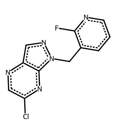 Fc1ncccc1Cn1ncc2ncc(Cl)nc21